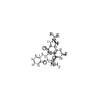 NC(=O)C(=O)C(Cc1ccccc1)NC(=O)c1cn(C(F)F)nc1-c1cc(F)cc(F)c1